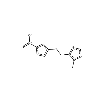 Cn1ccnc1CCc1ccc([N+](=O)[O-])s1